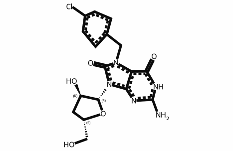 Nc1nc2c(c(=O)[nH]1)n(Cc1ccc(Cl)cc1)c(=O)n2[C@@H]1O[C@H](CO)C[C@H]1O